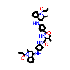 CCC(=O)N1c2ccccc2[C@H](Nc2ccc(NC(=O)[C@@H](NC(=O)c3ccc(N[C@@H]4C[C@H](C)N(C(=O)CC)c5ccccc54)cc3)C(C)C)cc2)C[C@@H]1C